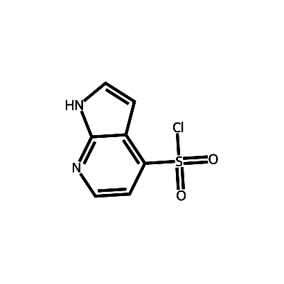 O=S(=O)(Cl)c1ccnc2[nH]ccc12